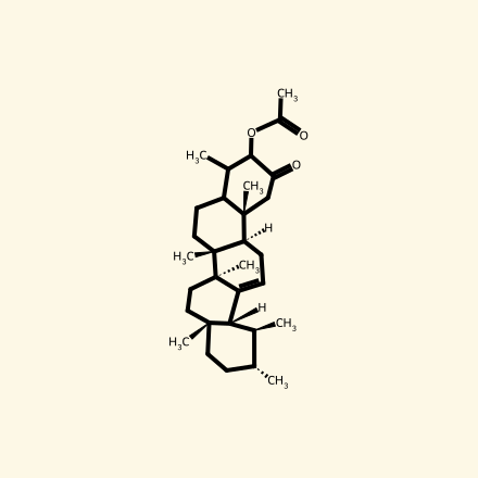 CC(=O)OC1C(=O)C[C@@]2(C)C(CC[C@]3(C)[C@@H]2CC=C2[C@@H]4[C@@H](C)[C@H](C)CC[C@]4(C)CC[C@]23C)C1C